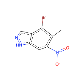 Cc1c([N+](=O)[O-])cc2[nH]ncc2c1Br